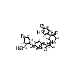 CC(C(=O)Nc1ccc(Oc2ccc(F)cc2CO)cn1)N1CCC(F)(F)C(c2ccc(=O)[nH]c2)C1